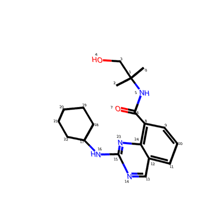 CC(C)(CO)NC(=O)c1cccc2cnc(NC3CCCCC3)nc12